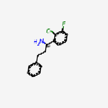 N[C@H](CCc1ccccc1)c1[c]ccc(F)c1Cl